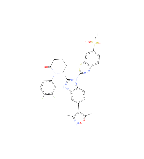 Cc1noc(C)c1-c1ccc2c(c1)nc([C@@H]1CCCC(=O)N1c1ccc(F)c(F)c1)n2-c1nc2ccc(S(C)(=O)=O)cc2s1